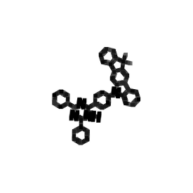 CC1(C)c2ccccc2-c2cc3c(cc21)c1ccccc1n3-c1ccc(C2N=C(C3C=CC=CC3)N=C(c3ccccc3)N2)cc1